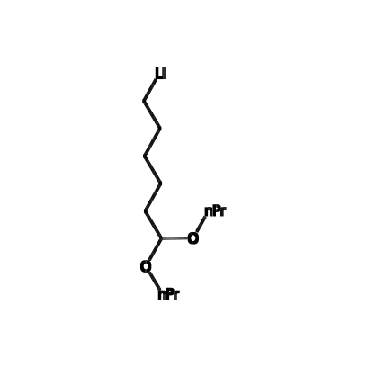 [Li][CH2]CCCCC(OCCC)OCCC